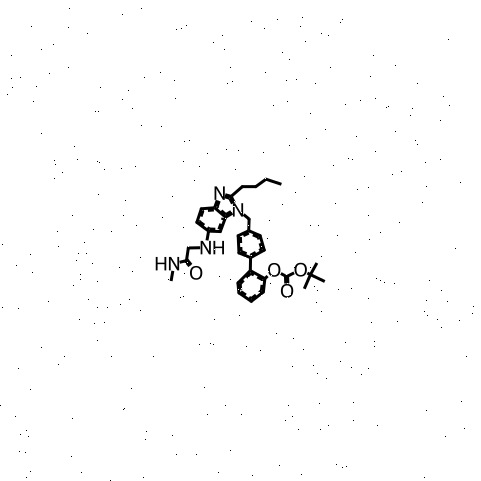 CCCCc1nc2ccc(NCC(=O)NC)cc2n1Cc1ccc(-c2ccccc2OC(=O)OC(C)(C)C)cc1